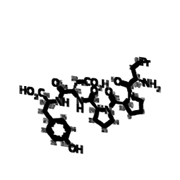 CC(C)C[C@H](N)C(=O)N1CCC[C@H]1C(=O)N1CCC[C@H]1C(=O)N[C@@H](CC(=O)O)C(=O)N[C@@H](Cc1ccc(O)cc1)C(=O)O